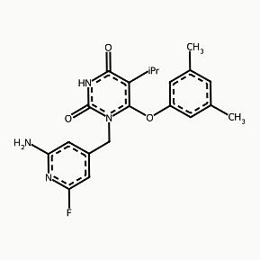 Cc1cc(C)cc(Oc2c(C(C)C)c(=O)[nH]c(=O)n2Cc2cc(N)nc(F)c2)c1